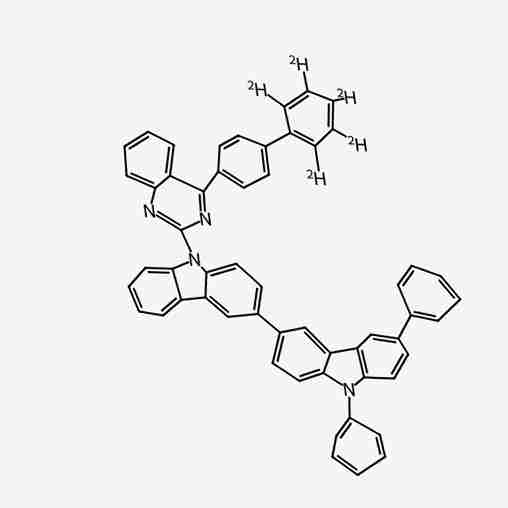 [2H]c1c([2H])c([2H])c(-c2ccc(-c3nc(-n4c5ccccc5c5cc(-c6ccc7c(c6)c6cc(-c8ccccc8)ccc6n7-c6ccccc6)ccc54)nc4ccccc34)cc2)c([2H])c1[2H]